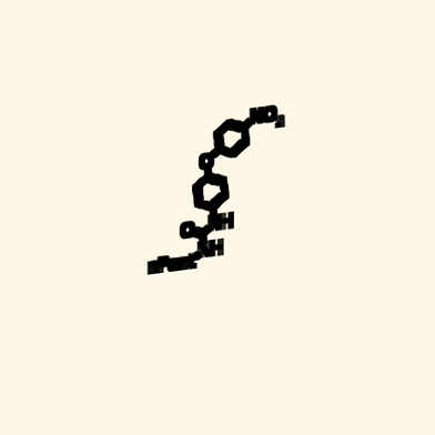 CCCCCNC(=O)Nc1ccc(Oc2ccc([N+](=O)[O-])cc2)cc1